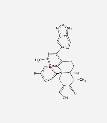 Cc1nc(-c2ccc3[nH]cnc3c2)c2c(n1)[C@@]1(c3ccc(F)cc3)C/C(=C/O)C(=O)[C@@H](C)[C@@H]1CC2